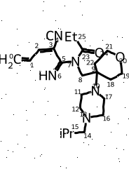 C=C/C=C(/C#N)C(=N)N(CC1(N2CCN(CC(C)C)CC2)CCOCC1)C(=O)CC